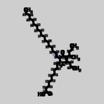 C=CCC(C)N(C(=O)C(/C=C/CCCCCCCCCCCCCCCC)CCCCCCCCCCC(=O)O)C(C)CC=C